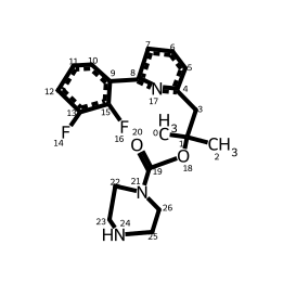 CC(C)(Cc1cccc(-c2cccc(F)c2F)n1)OC(=O)N1CCNCC1